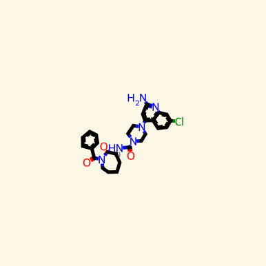 Nc1cc(N2CCN(C(=O)N[C@H]3CCCCN(C(=O)c4ccccc4)C3=O)CC2)c2ccc(Cl)cc2n1